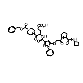 O=C(O)CCC(NC(=O)c1cc(OCC(=O)N2CCCC2C(=O)NC2CCC2)n(-c2ccccc2)n1)C(=O)N1CCN(C(=O)OCc2ccccc2)CC1